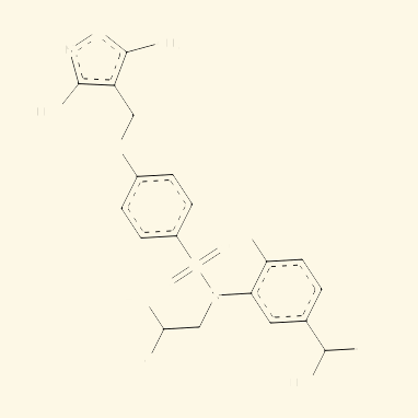 Cc1ccc(C(C)C)cc1N(CC(C)C)S(=O)(=O)c1ccc(OCc2c(C)noc2C)cc1